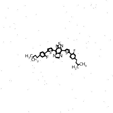 CC(C)CCc1ccc(-c2ccc(-c3c4nccnc4c(-c4ccc(-c5ccc(CCC(C)C)cc5F)s4)c4nsnc34)s2)c(F)c1